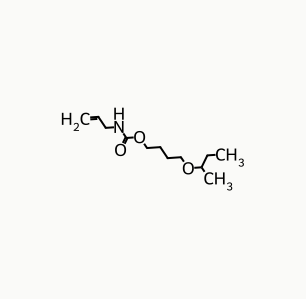 C=CCNC(=O)OCCCCOC(C)CC